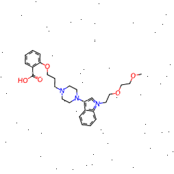 COCCOCCn1cc(N2CCN(CCCOc3ccccc3C(=O)O)CC2)c2ccccc21